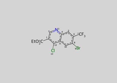 CCOC(=O)c1cnc2cc(C(F)(F)F)c(Br)cc2c1Cl